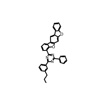 CCCc1cccc(-c2nc(-c3ccccc3)nc(-c3cccc4c3oc3cc5oc6ccccc6c5cc34)n2)c1